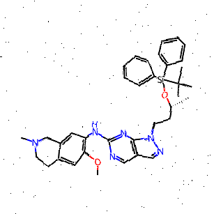 COc1cc2c(cc1Nc1ncc3cnn(CC[C@@H](C)O[Si](c4ccccc4)(c4ccccc4)C(C)(C)C)c3n1)CN(C)CC2